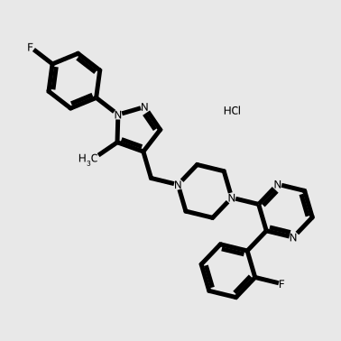 Cc1c(CN2CCN(c3nccnc3-c3ccccc3F)CC2)cnn1-c1ccc(F)cc1.Cl